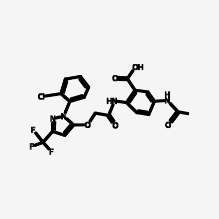 CC(=O)Nc1ccc(NC(=O)COc2cc(C(F)(F)F)nn2-c2ccccc2Cl)c(C(=O)O)c1